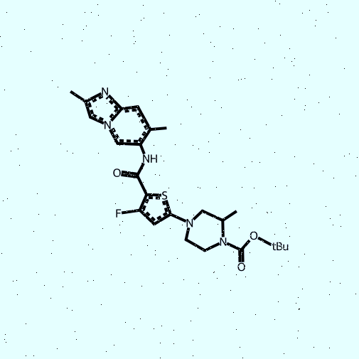 Cc1cn2cc(NC(=O)c3sc(N4CCN(C(=O)OC(C)(C)C)C(C)C4)cc3F)c(C)cc2n1